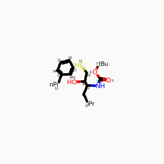 CC(C)CC(NC(=O)OC(C)(C)C)C(O)CS.CCCc1ccccc1